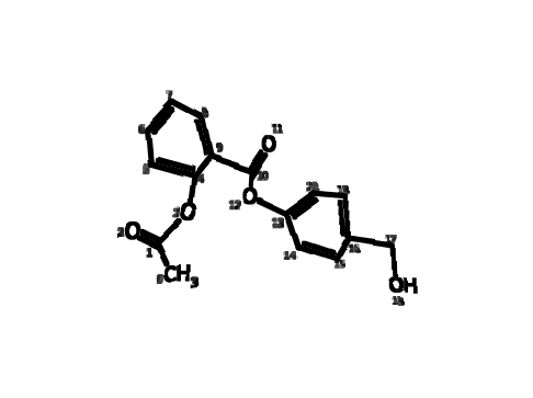 CC(=O)Oc1ccccc1C(=O)Oc1ccc(CO)cc1